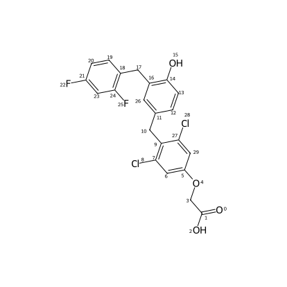 O=C(O)COc1cc(Cl)c(Cc2ccc(O)c(Cc3ccc(F)cc3F)c2)c(Cl)c1